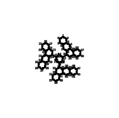 c1ccc2cc3c(cc2c1)c(-c1nc(-c2cc4ccccc4c4cc5ccccc5cc24)nc(-c2cc4ccccc4c4cc5ccccc5cc24)n1)cc1ccccc13